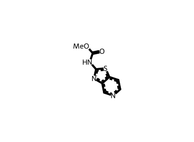 COC(=O)Nc1nc2cnccc2s1